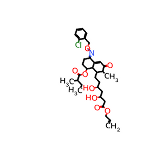 C=CCOC(=O)CC(O)CC(O)CCC1C(C)C(=O)C=C2C(=NOCc3ccccc3Cl)CCC(OC(=O)C(C)CC)C21